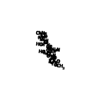 COC(=O)c1cccc2c1nnn2[C@@H]1O[C@H](CO)[C@@H](OP(=S)(OCCC#N)OC[C@H]2C[C@@H](n3cnc4c(Cl)ncnc43)[C@@H]2CO)[C@H]1F